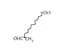 C=C([C]=O)CCCCCCCCCCCCCCCCCC